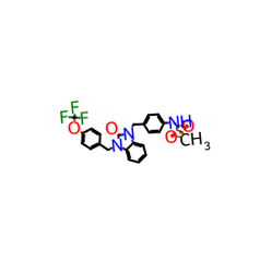 CS(=O)(=O)Nc1ccc(Cn2c(=O)n(Cc3ccc(OC(F)(F)F)cc3)c3ccccc32)cc1